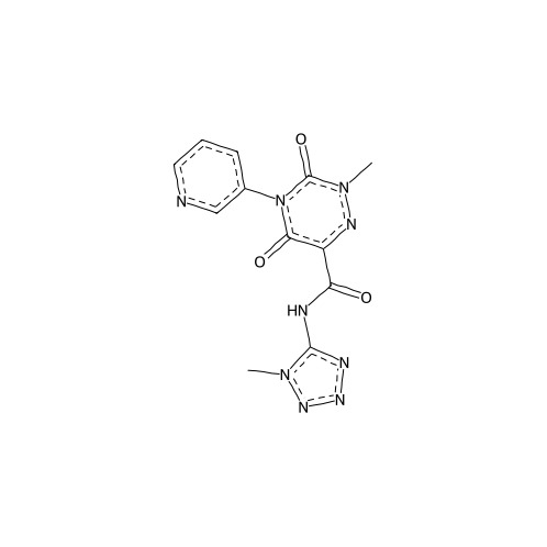 Cn1nnnc1NC(=O)c1nn(C)c(=O)n(-c2cccnc2)c1=O